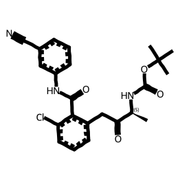 C[C@H](NC(=O)OC(C)(C)C)C(=O)Cc1cccc(Cl)c1C(=O)Nc1cccc(C#N)c1